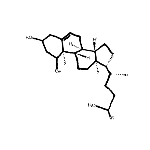 CC(C)C(O)CC[C@@H](C)[C@H]1CC[C@H]2[C@@H]3CC=C4CC(O)CC(O)[C@]4(C)[C@H]3CC[C@]12C